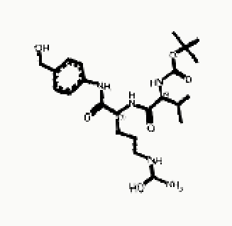 CC(C)[C@H](NC(=O)OC(C)(C)C)C(=O)N[C@@H](CCCNC(N)O)C(=O)Nc1ccc(CO)cc1